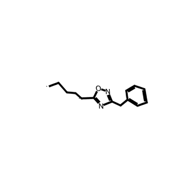 [CH2]CCC[CH]c1nc(Cc2ccccc2)no1